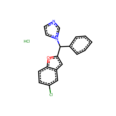 Cl.Clc1ccc2oc(C(c3ccccc3)n3ccnc3)cc2c1